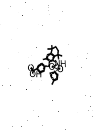 Cc1ccc(S(=O)(=O)Nc2c(Cc3ccc(C(=O)O)cc3)c(C)cc3c2C(C)(C)CCC3(C)C)cc1